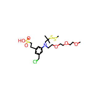 COCCOCCOCCN(CC(C)(C)SSC)c1cc(CCl)cc(CCS(=O)(=O)O)c1